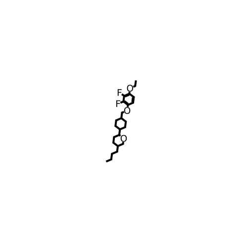 CCCCC1CCC(C2CCC(COc3ccc(OCC)c(F)c3F)CC2)OC1